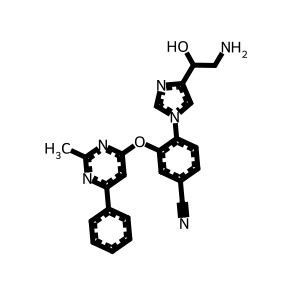 Cc1nc(Oc2cc(C#N)ccc2-n2cnc(C(O)CN)c2)cc(-c2ccccc2)n1